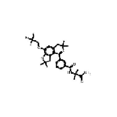 CC1(C)Cc2cc(OCC(F)(F)F)c3c(c2C(c2cccc(C(=O)NC(C)(C)C(N)=O)c2)=N1)CC(C)(C)O3